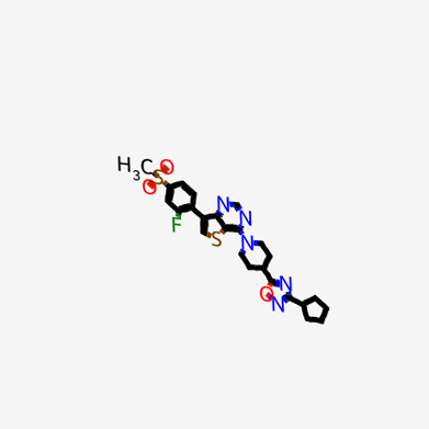 CS(=O)(=O)c1ccc(-c2csc3c(N4CCC(c5nc(C6CCCC6)no5)CC4)ncnc23)c(F)c1